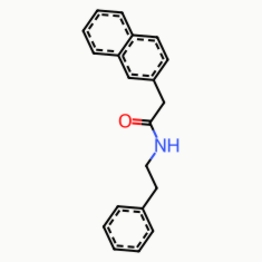 O=C(Cc1ccc2ccccc2c1)NCCc1ccccc1